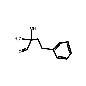 CC(O)(C=O)CCc1ccccc1